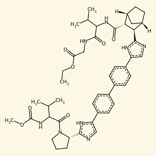 CCOC(=O)CNC(=O)C(NC(=O)[C@@H]1[C@@H]2CC[C@@H](C2)[C@H]1c1ncc(-c2ccc(-c3ccc(-c4cnc([C@@H]5CCCN5C(=O)C(NC(=O)OC)C(C)C)[nH]4)cc3)cc2)[nH]1)C(C)C